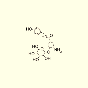 N[C@H]1C[C@@H](C(=O)NCc2ccc(O)cc2)CC1O[C@H]1OC(O)[C@@H](O)C(O)C1O